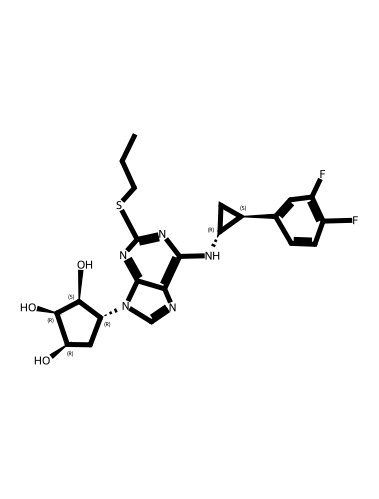 CCCSc1nc(N[C@@H]2C[C@H]2c2ccc(F)c(F)c2)c2ncn([C@@H]3C[C@@H](O)[C@@H](O)[C@H]3O)c2n1